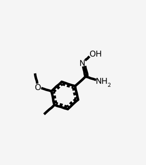 COc1cc(C(N)=NO)ccc1C